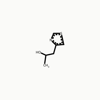 CC(O)Cc1cs[c]n1